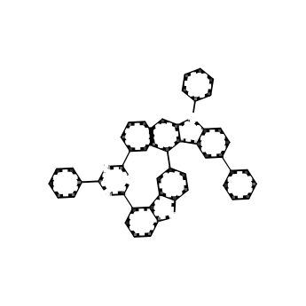 c1ccc(-c2ccc3c(c2)c2c(-c4ccc5oc6cccc(-c7nc(-c8ccccc8)nc(-c8ccccc8)n7)c6c5c4)cccc2n3-c2ccccc2)cc1